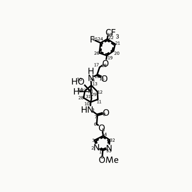 COc1ncc(OCC(=O)NC23CCC(NC(=O)COc4ccc(C(F)(F)F)c(F)c4)(CC2)[C@@H](O)C3)cn1